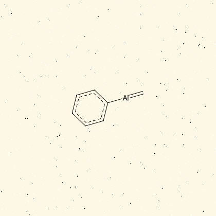 [CH2]=[Al][c]1ccccc1